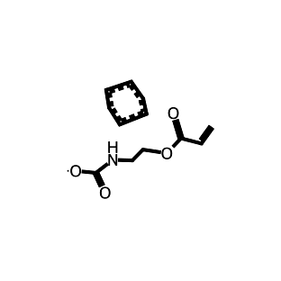 C=CC(=O)OCCNC([O])=O.c1ccccc1